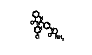 NC1CCN(c2ccc(-c3nc4ccccc4c(=O)n3-c3ccc(Cl)cn3)cc2)C1=O